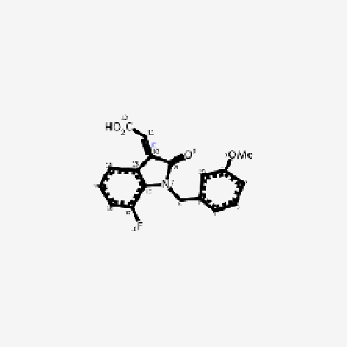 COc1cccc(CN2C(=O)/C(=C/C(=O)O)c3cccc(F)c32)c1